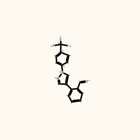 O=Cc1ccccc1-c1cnn(-c2ccc(C(F)(F)F)cc2)c1